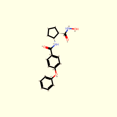 O=C(N[C@@H]1CCC[C@@H]1C(=O)NO)c1ccc(Oc2ccccc2)cc1